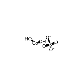 O=S(=O)([O-])[O-].[OH][Co+2][OH]